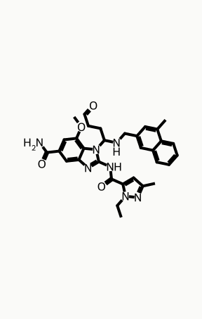 CCn1nc(C)cc1C(=O)Nc1nc2cc(C(N)=O)cc(OC)c2n1C(CCC=O)NCc1cc(C)c2ccccc2c1